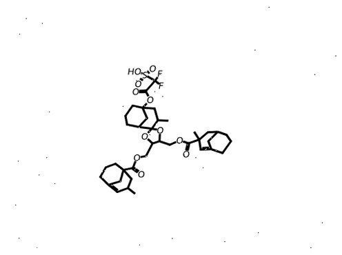 CC1C=C2CCCC(C(=O)OCC3OC4(OC3COC(=O)C3(C)C=C5CCCC(C5)C3)C(C)CC3(OC(=O)C(F)(F)S(=O)(=O)O)CCCC4C3)(C2)C1